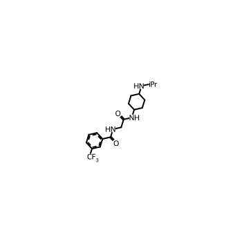 CC(C)NC1CCC(NC(=O)CNC(=O)c2cccc(C(F)(F)F)c2)CC1